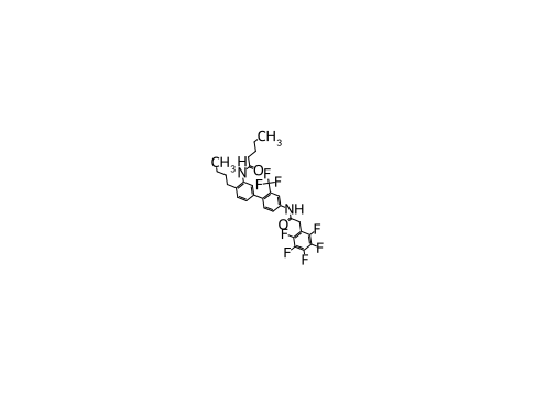 CCCCC(=O)Nc1cc(-c2ccc(NC(=O)Cc3c(F)c(F)c(F)c(F)c3F)cc2C(F)(F)F)ccc1CCCC